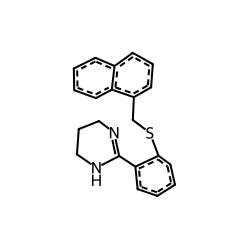 c1ccc(C2=NCCCN2)c(SCc2cccc3ccccc23)c1